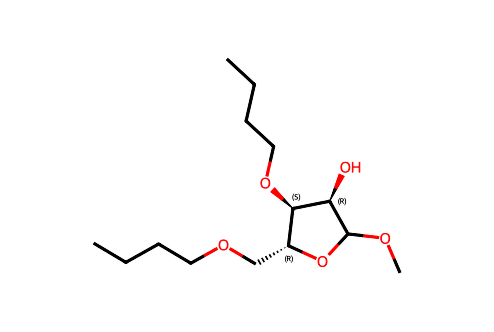 CCCCOC[C@H]1OC(OC)[C@H](O)[C@@H]1OCCCC